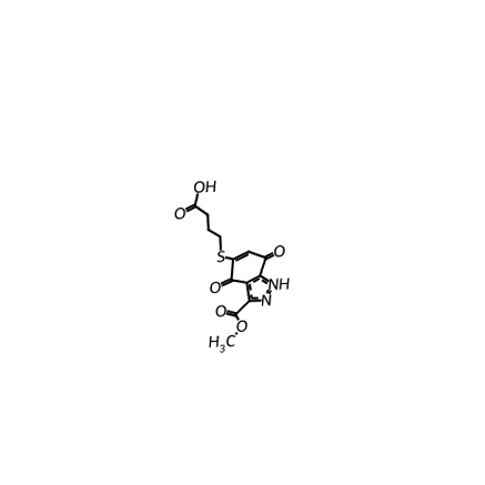 COC(=O)c1n[nH]c2c1C(=O)C(SCCCC(=O)O)=CC2=O